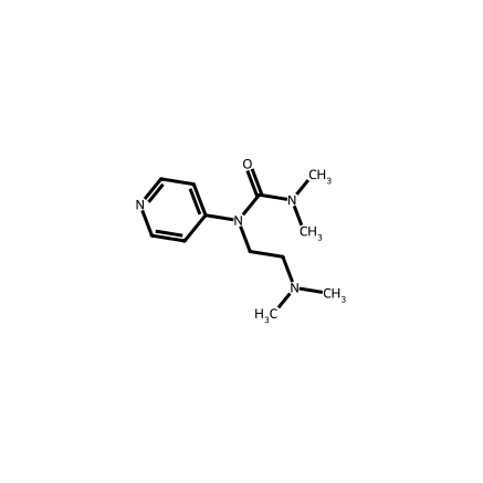 CN(C)CCN(C(=O)N(C)C)c1ccncc1